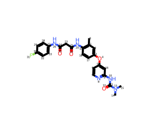 Cc1cc(Oc2ccnc(NC(=O)N(C)C)c2)ccc1NC(=O)CC(=O)Nc1ccc(F)cc1